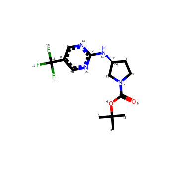 CC(C)(C)OC(=O)N1CC[C@H](Nc2ncc(C(F)(F)F)cn2)C1